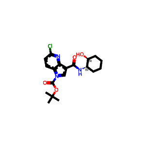 CC(C)(C)OC(=O)n1cc(C(=O)N[C@H]2CCCC[C@@H]2O)c2nc(Cl)ccc21